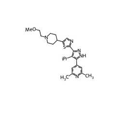 COCCN1CCC(c2cnc(-c3n[nH]c(-c4cc(C)nc(C)c4)c3C(C)C)s2)CC1